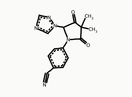 CC1(C)C(=O)C(n2cncn2)N(c2ccc(C#N)cc2)C1=O